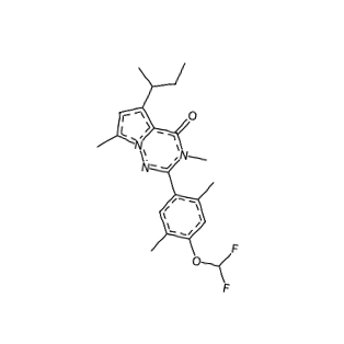 CCC(C)c1cc(C)n2nc(-c3cc(C)c(OC(F)F)cc3C)n(C)c(=O)c12